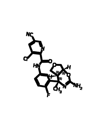 C[C@]1(c2cc(NC(=O)c3ncc(C#N)cc3Cl)ccc2F)N=C(N)O[C@@H]2COC[C@@H]21